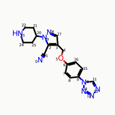 N#Cc1c(COc2ccc(-n3cnnn3)cc2)cnn1C1CCNCC1